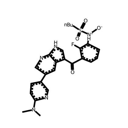 CCCCS(=O)(=O)[NH+]([O-])c1cccc(C(=O)c2c[nH]c3ncc(-c4ccc(N(C)C)nc4)cc23)c1F